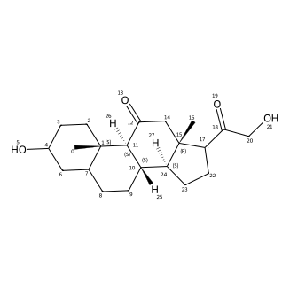 C[C@]12CCC(O)CC1CC[C@@H]1[C@@H]2C(=O)C[C@]2(C)[C](C(=O)CO)CC[C@@H]12